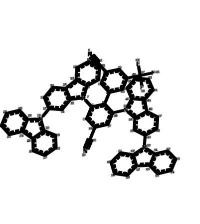 N#Cc1cc(-c2c(-n3c4ccccc4c4ccc(-n5c6ccccc6c6ccccc65)cc43)cc(C#N)cc2-n2c3ccccc3c3ccc(-n4c5ccccc5c5ccccc54)cc32)cc(C(F)(F)F)c1